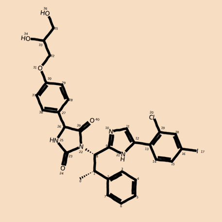 C[C@@H](c1ccccc1)[C@@H](c1ncc(-c2ccc(I)cc2Cl)[nH]1)N1C(=O)NC(c2ccc(OCC(O)CO)cc2)C1=O